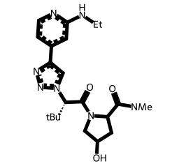 CCNc1cc(-c2cn([C@H](C(=O)N3CC(O)CC3C(=O)NC)C(C)(C)C)nn2)ccn1